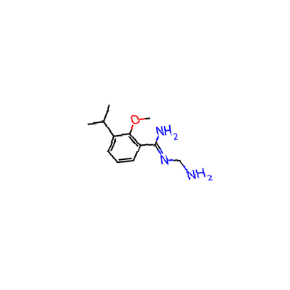 COc1c(/C(N)=N/CN)cccc1C(C)C